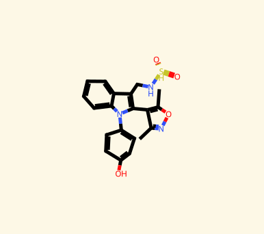 Cc1noc(C)c1-c1c(CN[SH](=O)=O)c2ccccc2n1-c1ccc(O)cc1